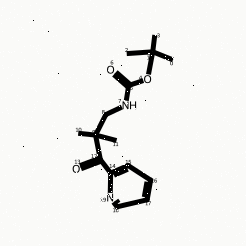 CC(C)(C)OC(=O)NCC(C)(C)C(=O)c1ccccn1